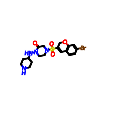 O=C1CN(S(=O)(=O)C2=Cc3ccc(Br)cc3OC2)CCN1NC1CCNCC1